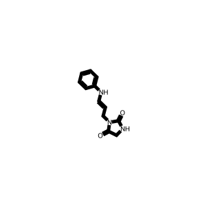 O=C1CNC(=O)N1CC=CNc1ccccc1